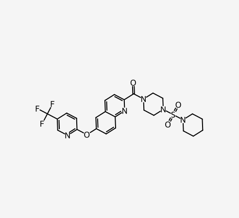 O=C(c1ccc2cc(Oc3ccc(C(F)(F)F)cn3)ccc2n1)N1CCN(S(=O)(=O)N2CCCCC2)CC1